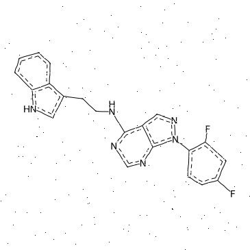 Fc1ccc(-n2ncc3c(NCCc4c[nH]c5ccccc45)ncnc32)c(F)c1